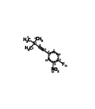 CS(C)(C)C#Cc1ccc(F)c([N+](=O)[O-])c1